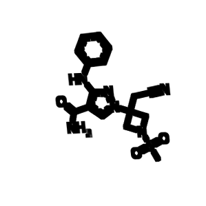 CS(=O)(=O)N1CC(CC#N)(n2cc(C(N)=O)c(Nc3ccccc3)n2)C1